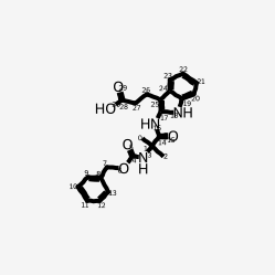 CC(C)(NC(=O)OCc1ccccc1)C(=O)Nc1[nH]c2ccccc2c1CCC(=O)O